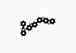 c1ccc(-c2nc3ccccc3n2-c2ccc3c(c2)oc2cc(-c4ccc5oc6cc7c(cc6c5c4)oc4ccccc47)ccc23)cc1